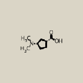 CN(C)[C@H]1CC[C@@H](C(=O)O)C1